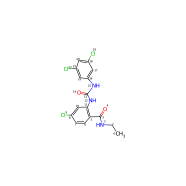 CCNC(=O)c1ccc(Cl)cc1NC(=O)Nc1cc(Cl)cc(Cl)c1